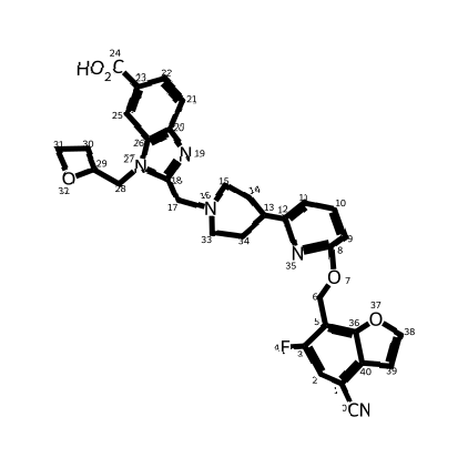 N#Cc1cc(F)c(COc2cccc(C3CCN(Cc4nc5ccc(C(=O)O)cc5n4CC4CCO4)CC3)n2)c2occc12